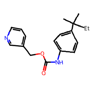 CCC(C)(C)c1ccc(NC(=O)OCc2cccnc2)cc1